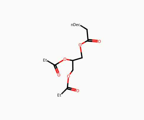 CCCCCCCCCCCC(=O)OCC(COC(=O)CC)OC(=O)CC